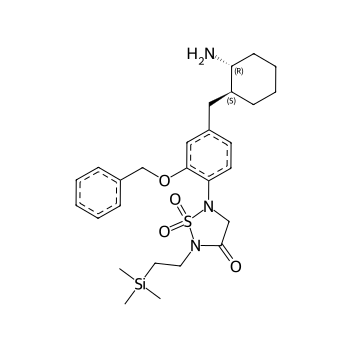 C[Si](C)(C)CCN1C(=O)CN(c2ccc(C[C@@H]3CCCC[C@H]3N)cc2OCc2ccccc2)S1(=O)=O